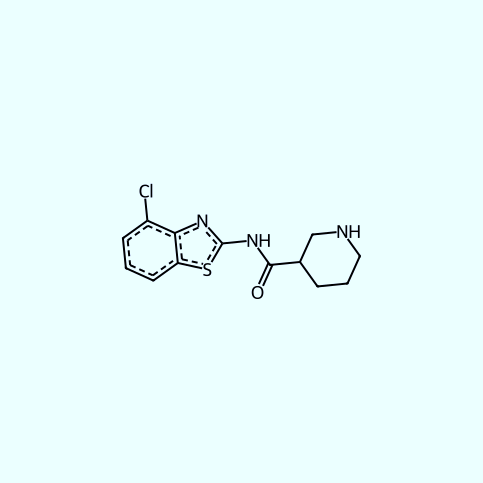 O=C(Nc1nc2c(Cl)cccc2s1)C1CCCNC1